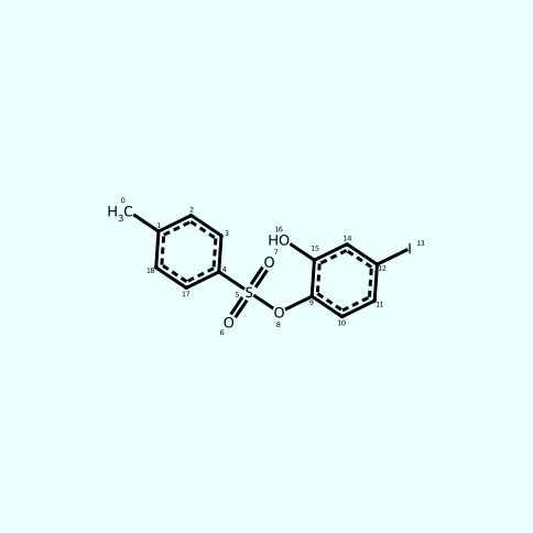 Cc1ccc(S(=O)(=O)Oc2ccc(I)cc2O)cc1